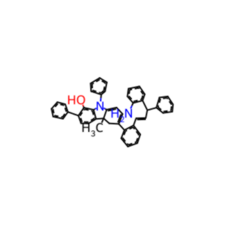 CC12CC(c3ccccc3C=CC(c3ccccc3)c3ccccc3N)=CC=C1N(c1ccccc1)c1c2ccc(-c2ccccc2)c1O